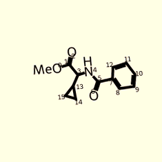 COC(=O)C(NC(=O)c1ccccc1)C1CC1